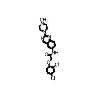 CN1CCN(c2ncc3cc(NC(=O)COc4ccc(Cl)cc4Cl)ccc3n2)CC1